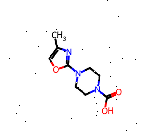 Cc1coc(N2CCN(C(=O)O)CC2)n1